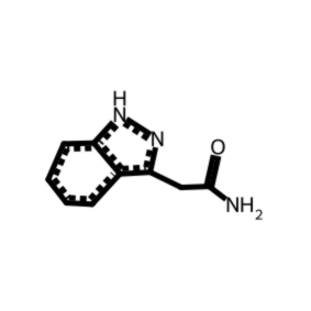 NC(=O)Cc1n[nH]c2ccccc12